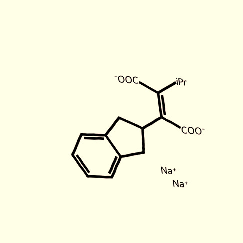 CC(C)C(C(=O)[O-])=C(C(=O)[O-])C1Cc2ccccc2C1.[Na+].[Na+]